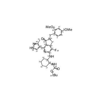 COc1ccc(CN2Cc3c(F)c(NC4CCCCC4NC(=O)OC(C)(C)C)nc(-c4c[nH]nc4C)c3C2=O)c(OC)c1